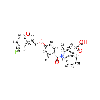 Cc1cc(OC[C@@H]2COc3ccc(F)cc32)ccc1C(=O)n1c(C)c(CC(=O)O)c2ccccc21